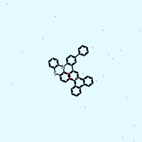 c1ccc(-c2ccc(N3c4ccccc4Sc4ccccc43)c(-c3ccc4c5ccccc5c5ccccc5c4c3)c2)cc1